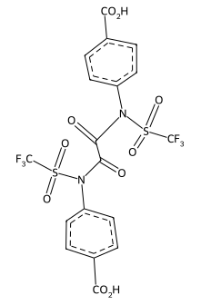 O=C(O)c1ccc(N(C(=O)C(=O)N(c2ccc(C(=O)O)cc2)S(=O)(=O)C(F)(F)F)S(=O)(=O)C(F)(F)F)cc1